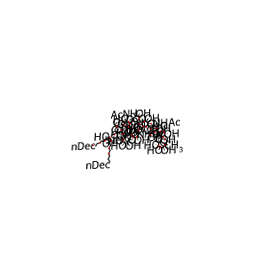 CCCCCCCCCCCCC/C=C/[C@@H](O)[C@H](CO[C@@H]1OC(CO)[C@@H](O[C@@H]2OC(CO)[C@H](O)[C@H](O[C@@H]3OC(CO)[C@@H](O[C@@H]4OC(CO[C@@H]5OC(CO)[C@@H](O[C@@H]6OC(CO)[C@H](O)[C@H](O)C6O)[C@H](O)C5NC(C)=O)[C@H](O)[C@H](O[C@@H]5OC(CO)[C@@H](O[C@@H]6OC(CO)[C@H](O)[C@H](O)C6O[C@H]6OC(C)[C@@H](O)C(O)[C@@H]6O)[C@H](O)C5NC(C)=O)C4O)[C@H](O)C3NC(C)=O)C2O)[C@H](O)C1O)NC(=O)CCCCCCCCCCCCCCCCC